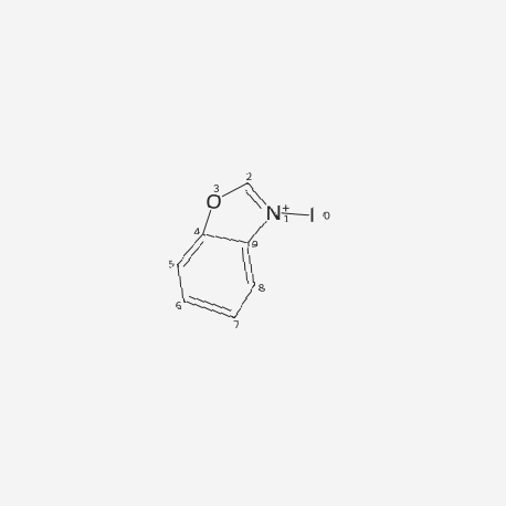 I[n+]1coc2ccccc21